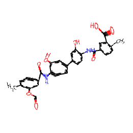 Cc1ccc(C(=O)Nc2ccc(-c3ccc(NC(=O)c4ccc(C)c(C(=O)O)c4)c(O)c3)cc2O)cc1OC=O